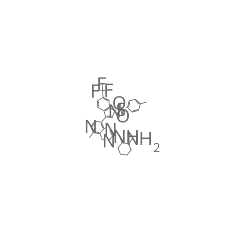 Cc1ccc(S(=O)(=O)n2cc(-c3cnc(C)c4cnc(NC5CCCCC5N)nc34)c3ccc(C(F)(F)F)cc32)cc1